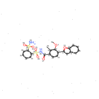 COc1c(-c2cc3ccccc3o2)ccc(C(=O)NS(=O)(=O)c2ccccc2S(N)(=O)=O)c1C